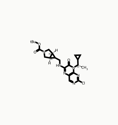 C[C@@H](C1CC1)n1c(=O)c(NCC2[C@H]3CN(C(=O)OC(C)(C)C)C[C@@H]23)nc2cnc(Cl)nc21